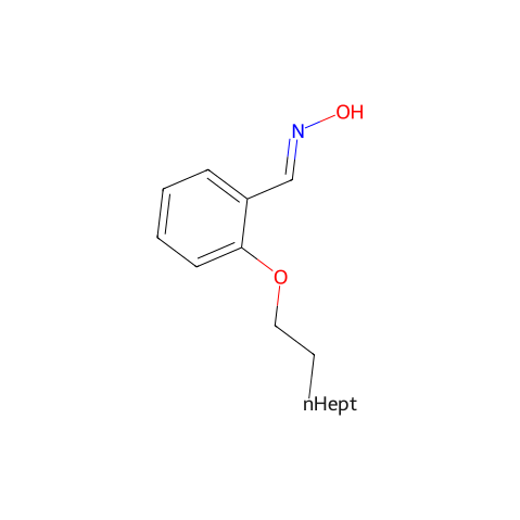 CCCCCCCCCOc1ccccc1C=NO